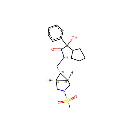 CS(=O)(=O)N1C[C@@H]2[C@@H](CNC(=O)C(O)(c3ccccc3)C3CCCC3)[C@@H]2C1